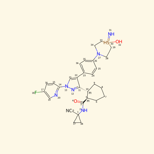 N#CC1(NC(=O)[C@@H]2CCCC[C@H]2c2nn(-c3ccc(F)cn3)cc2-c2ccc(N3CC[SH](=N)(O)CC3)cc2)CC1